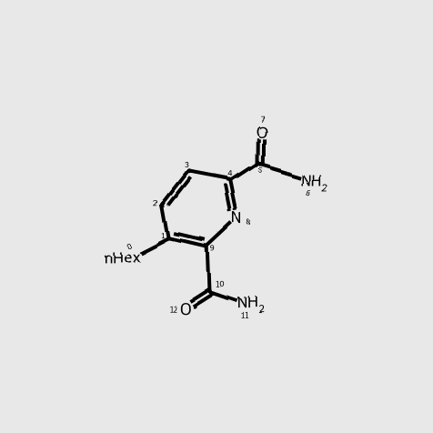 CCCCCCc1ccc(C(N)=O)nc1C(N)=O